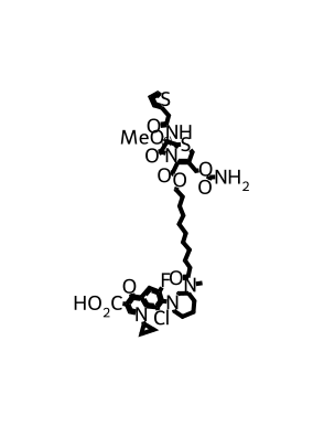 CO[C@@]1(NC(=O)Cc2cccs2)C(=O)N2C(C(=O)OCCCCCCCCCCC(=O)N(C)C3CCCCN(c4c(F)cc5c(=O)c(C(=O)O)cn(C6CC6)c5c4Cl)C3)=C(COC(N)=O)CSC21